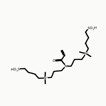 C=CC(=O)N(CCC[N+](C)(C)CCCCS(=O)(=O)O)CCC[N+](C)(C)CCCCS(=O)(=O)O